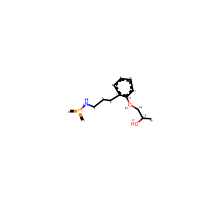 C=P(=C)NCCCc1ccccc1OCC(C)O